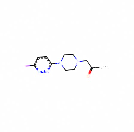 CNC(=O)CN1CCN(c2ccc(I)nn2)CC1